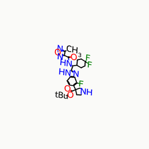 Cc1nonc1C(=O)NC(c1nc2c(F)c(C3(C(=O)OC(C)(C)C)CCNC3)ccc2[nH]1)C1CCC(F)(F)CC1